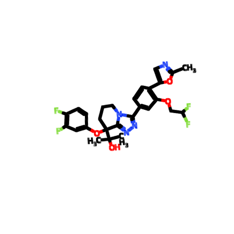 Cc1ncc(-c2ccc(-c3nnc4n3CCCC4(Oc3ccc(F)c(F)c3)C(C)(C)O)cc2OCC(F)F)o1